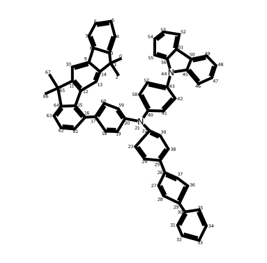 CC1(C)c2ccccc2-c2cc3c(cc21)-c1c(-c2ccc(N(c4ccc(-c5ccc(-c6ccccc6)cc5)cc4)c4ccc(-n5c6ccccc6c6ccccc65)cc4)cc2)cccc1C3(C)C